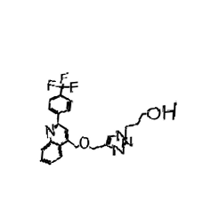 OCCCn1cc(COCc2cc(-c3ccc(C(F)(F)F)cc3)nc3ccccc23)nn1